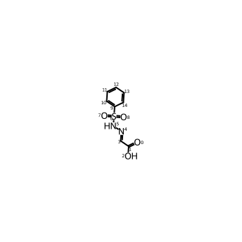 O=C(O)C=NNS(=O)(=O)c1ccccc1